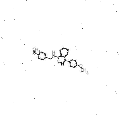 COc1ccc(CNc2nnc(-c3ccc(OC)cc3)c3ccccc23)cc1